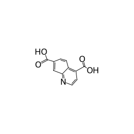 O=C(O)c1ccc2c(C(=O)O)ccnc2c1